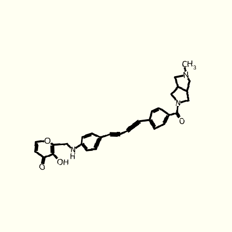 CN1CC2CN(C(=O)c3ccc(C#CC#Cc4ccc(NCc5occc(=O)c5O)cc4)cc3)CC2C1